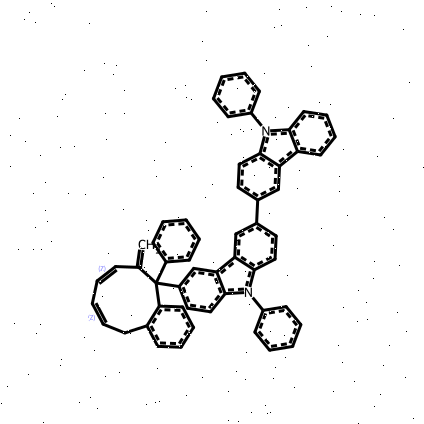 C=C1/C=C\C=C/Cc2ccccc2C1(c1ccccc1)c1ccc2c(c1)c1cc(-c3ccc4c(c3)c3ccccc3n4-c3ccccc3)ccc1n2-c1ccccc1